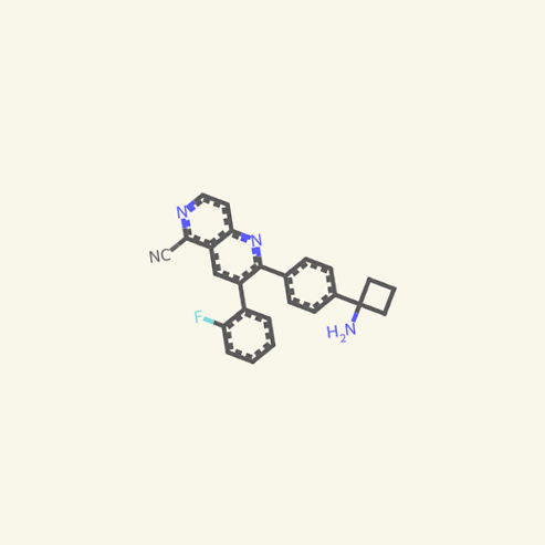 N#Cc1nccc2nc(-c3ccc(C4(N)CCC4)cc3)c(-c3ccccc3F)cc12